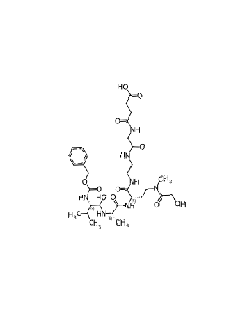 CC(C)[C@H](NC(=O)OCc1ccccc1)C(O)N[C@@H](C)C(=O)N[C@@H](CCN(C)C(=O)CO)C(=O)NCCNC(=O)CNC(=O)CCC(=O)O